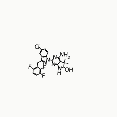 CC1(C)c2c(N)nc(-n3nc(Cc4c(F)ccc(F)c4F)c4cc(Cl)ccc43)nc2NC1O